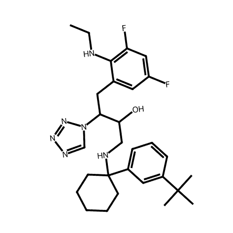 CCNc1c(F)cc(F)cc1CC(C(O)CNC1(c2cccc(C(C)(C)C)c2)CCCCC1)n1cnnn1